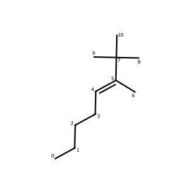 CCCC/C=C(\C)C(C)(C)C